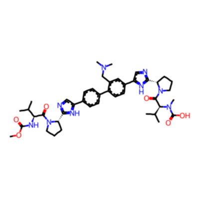 COC(=O)N[C@H](C(=O)N1CCC[C@H]1c1ncc(-c2ccc(-c3ccc(-c4cnc([C@@H]5CCCN5C(=O)[C@H](C(C)C)N(C)C(=O)O)[nH]4)cc3CN(C)C)cc2)[nH]1)C(C)C